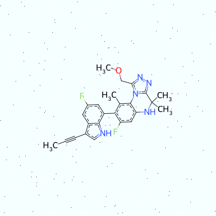 CC#Cc1c[nH]c2c(-c3c(F)cc4c(c3C)-n3c(COC)nnc3C(C)(C)N4)cc(F)cc12